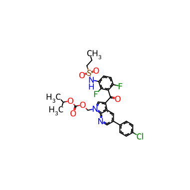 CCCS(=O)(=O)Nc1ccc(F)c(C(=O)c2cn(COC(=O)OC(C)C)c3ncc(-c4ccc(Cl)cc4)cc23)c1F